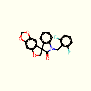 O=C1N(Cc2c(F)cccc2F)c2ccccc2C12COc1cc3c(cc12)OCO3